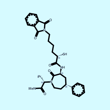 CNC(=O)[C@H](C(C)C)N1CC[C@@H](c2ccccc2)C[C@H](NC(=O)[C@@H](S)CCCCN2C(=O)c3ccccc3C2=O)C1=O